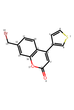 O=c1cc(-c2ccsc2)c2ccc(CBr)cc2o1